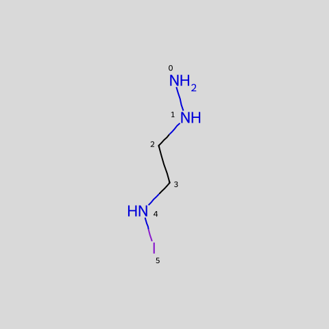 NNCCNI